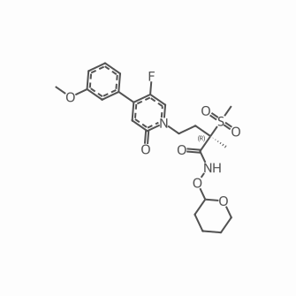 COc1cccc(-c2cc(=O)n(CC[C@](C)(C(=O)NOC3CCCCO3)S(C)(=O)=O)cc2F)c1